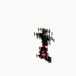 C=Cc1c(C)c2cc3nc(cc4[nH]c(cc5nc(cc1[nH]2)C(C)=C5CCC(=O)OCCSSCC(NC(C)=O)C(=O)N[C@@H](CCCNC(=N)N)C(=O)NCC(=O)N[C@@H](CC(=O)O)C(=O)NC(CCCNC(=N)N)C(=O)O)c(CCC(=O)OC)c4C)[C@@]1(C)C3=CC=C(C(=O)OC)[C@H]1C(=O)OC